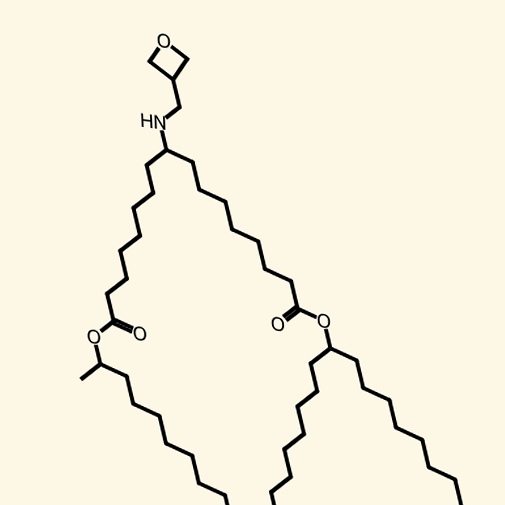 CCCCCCCCC(C)OC(=O)CCCCCCCC(CCCCCCCC(=O)OC(CCCCCCCC)CCCCCCCC)NCC1COC1